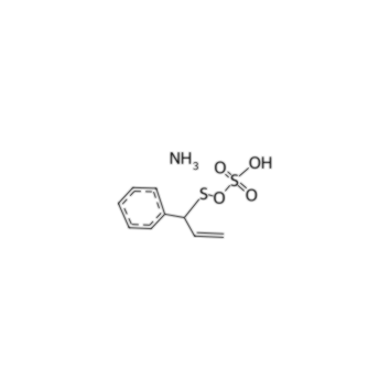 C=CC(SOS(=O)(=O)O)c1ccccc1.N